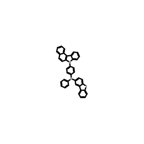 c1ccc(N(c2ccc(-n3c4ccccc4c4c5ccccc5ccc43)cc2)c2ccc3sc4ccccc4c3c2)cc1